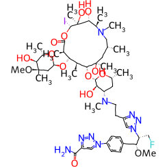 CO[C@H](c1ccc(-n2cc(C(N)=O)nn2)cc1)[C@@H](CF)n1cc(CCN(C)[C@H]2C[C@@H](C)O[C@@H](O[C@@H]3[C@@H](C)[C@H](O[C@H]4C[C@@](C)(OC)[C@@H](O)[C@H](C)O4)[C@@H](C)C(=O)O[C@H](I)[C@@](C)(O)[C@H](O)[C@@H](C)N(C)C[C@H](C)C[C@@]3(C)O)[C@@H]2O)nn1